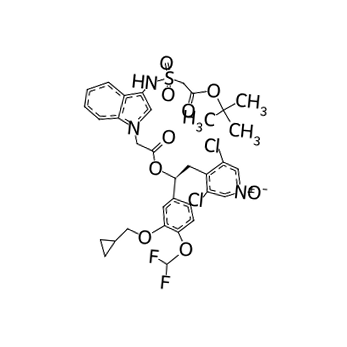 CC(C)(C)OC(=O)CS(=O)(=O)Nc1cn(CC(=O)O[C@@H](Cc2c(Cl)c[n+]([O-])cc2Cl)c2ccc(OC(F)F)c(OCC3CC3)c2)c2ccccc12